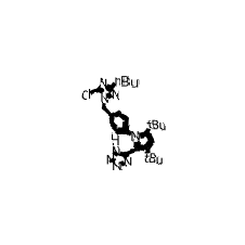 CCCCc1nc(Cl)n(Cc2ccc(-n3c(C(C)(C)C)cc(C(C)(C)C)c3-c3nnn[nH]3)cc2)n1